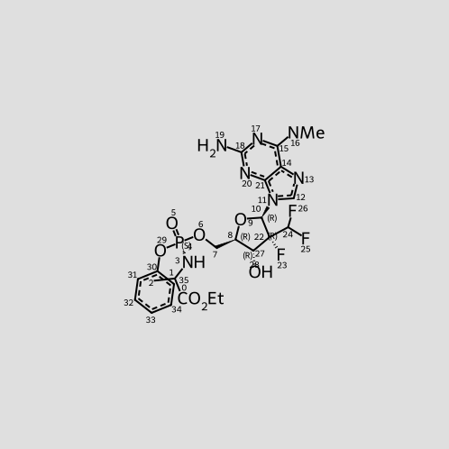 CCOC(=O)C(C)N[P@](=O)(OC[C@H]1O[C@@H](n2cnc3c(NC)nc(N)nc32)[C@@](F)(C(F)F)[C@@H]1O)Oc1ccccc1